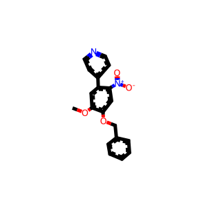 COc1cc(-c2ccncc2)c([N+](=O)[O-])cc1OCc1ccccc1